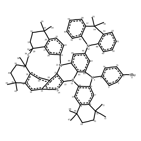 CC(C)(C)c1ccc(N2c3cc4c(cc3B3c5sc6cc7c8cc6c5N(c5ccc6c(c5)C(C)(CCC6(C)C)CC8(C)CCC7(C)C)c5cc(N6c7ccccc7C(C)(C)c7ccccc76)cc2c53)C(C)(C)CCC4(C)C)cc1